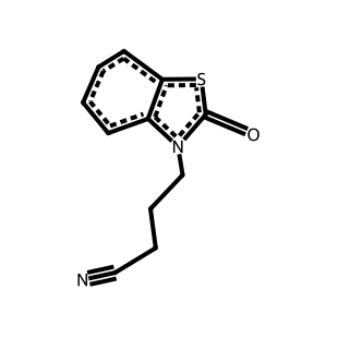 N#CCCCn1c(=O)sc2ccccc21